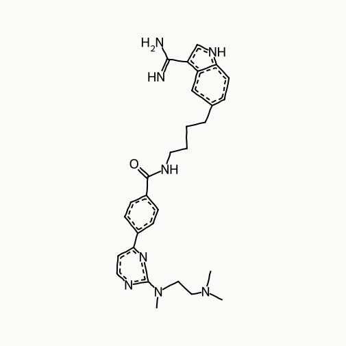 CN(C)CCN(C)c1nccc(-c2ccc(C(=O)NCCCCc3ccc4[nH]cc(C(=N)N)c4c3)cc2)n1